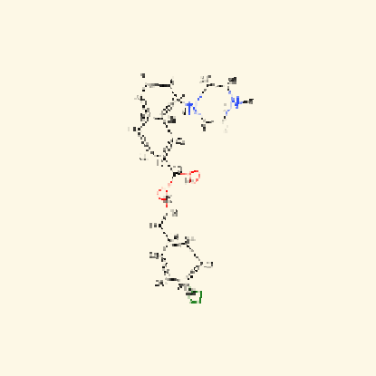 CN1CCN(c2cccc3ccc(C(=O)OCCc4ccc(Cl)cc4)cc23)CC1